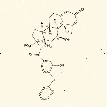 C[C@]12C=CC(=O)C=C1CC[C@H]1[C@@H]3CC[C@@](OC(=O)c4ccc(Sc5ccccc5)c(O)c4)(C(=O)O)[C@@]3(C)C[C@H](O)C12F